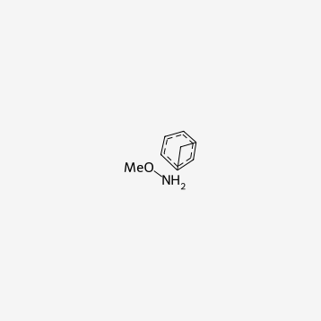 CON.c1cc2cc(c1)C2